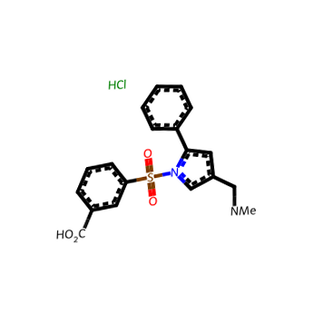 CNCc1cc(-c2ccccc2)n(S(=O)(=O)c2cccc(C(=O)O)c2)c1.Cl